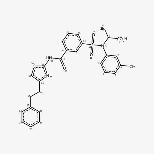 CC(C)(C)C(C(=O)O)N(c1cccc(Cl)c1)S(=O)(=O)c1cccc(C(=O)Nc2nc(CCc3ccccc3)cs2)c1